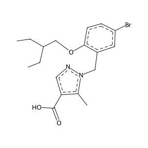 CCC(CC)COc1ccc(Br)cc1Cn1ncc(C(=O)O)c1C